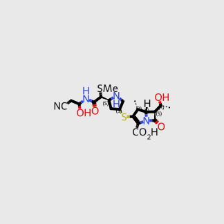 CSC(C(=O)NC(O)CC#N)[C@@H]1C[C@H](SC2=C(C(=O)O)N3C(=O)[C@H]([C@@H](C)O)[C@H]3[C@H]2C)CN1